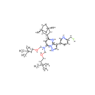 C[Si](C)(C)CCOCN(COCC[Si](C)(C)C)c1cc([C@H]2C[C@@H]3CC[C@@H](C3)C2)nc2c(-c3ccc(CF)nc3)cnn12